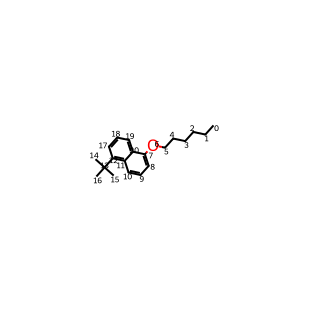 CCCCCCOc1cccc2c(C(C)(C)C)cccc12